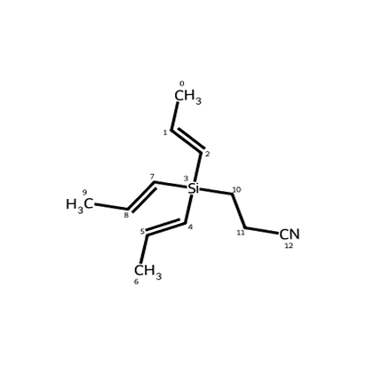 CC=C[Si](C=CC)(C=CC)CCC#N